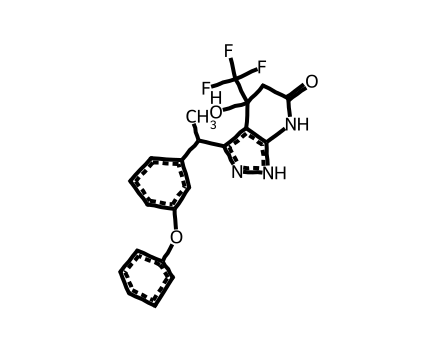 CC(c1cccc(Oc2ccccc2)c1)c1n[nH]c2c1C(O)(C(F)(F)F)CC(=O)N2